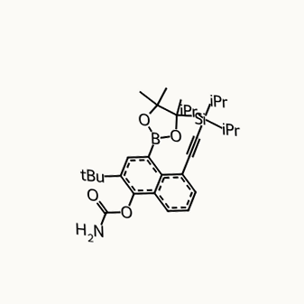 CC(C)[Si](C#Cc1cccc2c(OC(N)=O)c(C(C)(C)C)cc(B3OC(C)(C)C(C)(C)O3)c12)(C(C)C)C(C)C